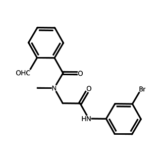 CN(CC(=O)Nc1cccc(Br)c1)C(=O)c1ccccc1C=O